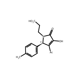 CC(=O)C1=C(O)C(=O)N(CCC(=O)O)[C@@H]1c1ccc(C)cc1